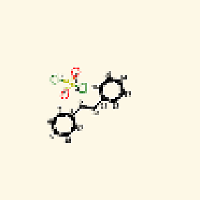 O=S(=O)(Cl)Cl.c1ccc(CCc2ccccc2)cc1